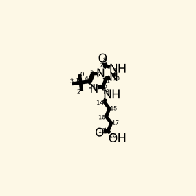 CC(C)(C)c1cn2c(=O)[nH]nc2c(NCCCCC(=O)O)n1